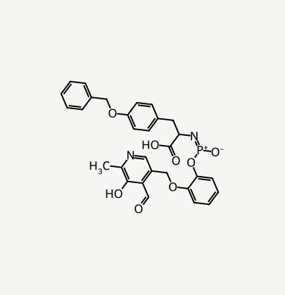 Cc1ncc(COc2ccccc2O/[P+]([O-])=N\C(Cc2ccc(OCc3ccccc3)cc2)C(=O)O)c(C=O)c1O